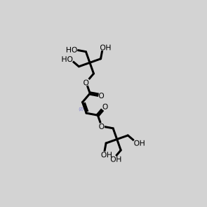 O=C(/C=C\C(=O)OCC(CO)(CO)CO)OCC(CO)(CO)CO